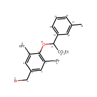 CCCc1cc(CBr)cc(CCC)c1OC(C(=O)OCC)c1cccc(C)c1